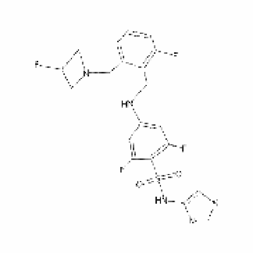 O=S(=O)(Nc1cscn1)c1c(F)cc(NCc2c(F)cccc2CN2CC(F)C2)cc1F